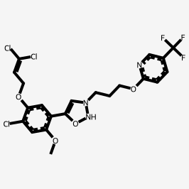 COc1cc(Cl)c(OCC=C(Cl)Cl)cc1C1=CN(CCCOc2ccc(C(F)(F)F)cn2)NO1